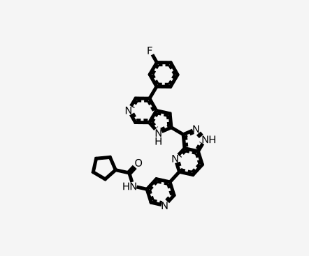 O=C(Nc1cncc(-c2ccc3[nH]nc(-c4cc5c(-c6cccc(F)c6)cncc5[nH]4)c3n2)c1)C1CCCC1